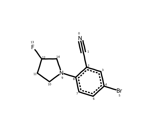 N#Cc1cc(Br)ccc1N1CCC(F)C1